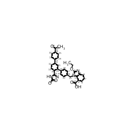 CCOc1nc2cccc(C(=O)O)c2n1Cc1ccc(-c2cc(-c3ccc(C(C)=O)cc3)ccc2-c2noc(=O)[nH]2)cc1